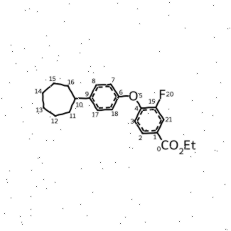 CCOC(=O)c1ccc(Oc2ccc(C3CCCCCC3)cc2)c(F)c1